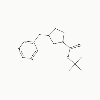 CC(C)(C)OC(=O)N1CCC(Cc2cncnc2)C1